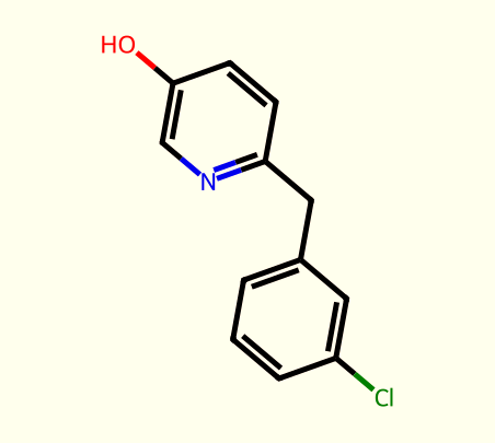 Oc1ccc(Cc2cccc(Cl)c2)nc1